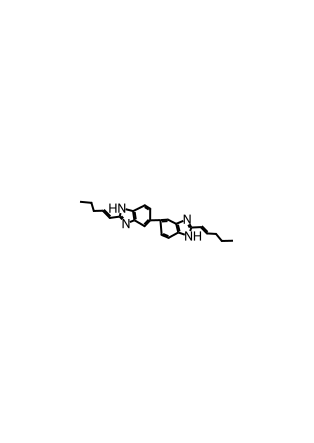 CCCC=Cc1nc2cc(-c3ccc4[nH]c(C=CCCC)nc4c3)ccc2[nH]1